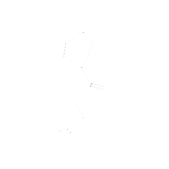 NCCC(=O)C1CCCC1